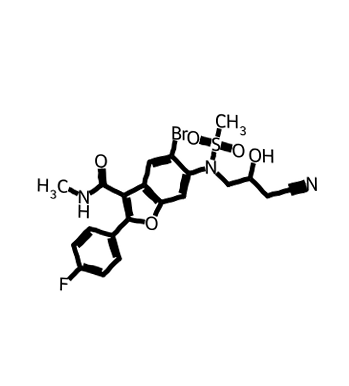 CNC(=O)c1c(-c2ccc(F)cc2)oc2cc(N(CC(O)CC#N)S(C)(=O)=O)c(Br)cc12